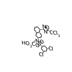 O=C(O)CN(c1ccc2c(-c3noc(C(Cl)(Cl)Cl)n3)cccc2c1)S(=O)(=O)c1cc(Cl)cc(Cl)c1